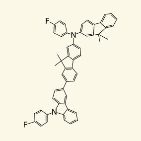 CC1(C)c2ccccc2-c2ccc(N(c3ccc(F)cc3)c3ccc4c(c3)C(C)(C)c3cc(-c5ccc6c(c5)c5ccccc5n6-c5ccc(F)cc5)ccc3-4)cc21